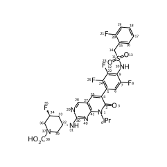 CC(C)n1c(=O)c(-c2cc(F)c(NS(=O)(=O)Cc3ccccc3F)c(F)c2F)cc2cnc(N[C@H]3C[C@H](F)CN(C(=O)O)C3)nc21